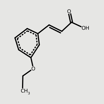 CCOc1cccc(/C=C/C(=O)O)c1